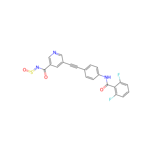 O=S=NC(=O)c1cncc(C#Cc2ccc(NC(=O)c3c(F)cccc3F)cc2)c1